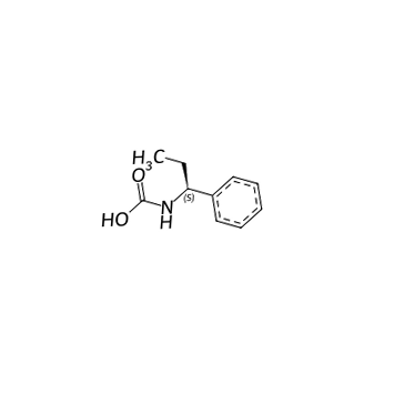 CC[C@H](NC(=O)O)c1ccccc1